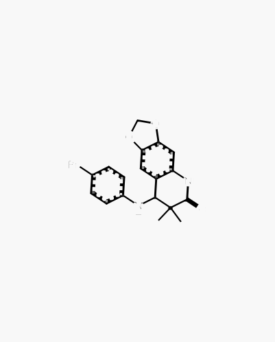 CC1(C)C(=O)Nc2cc3c(cc2C1Nc1ccc(Br)cc1)OCO3